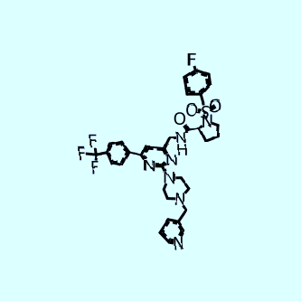 O=C(NCc1cc(-c2ccc(C(F)(F)F)cc2)nc(N2CCN(Cc3cccnc3)CC2)n1)[C@@H]1CCCN1S(=O)(=O)c1ccc(F)cc1